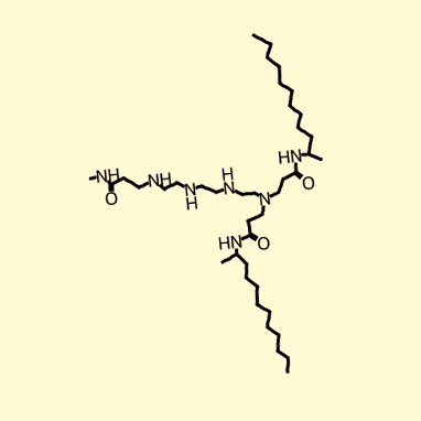 CCCCCCCCCCC(C)NC(=O)CCN(CCNCCNCCNCCC(=O)NC)CCC(=O)NC(C)CCCCCCCCCC